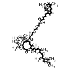 CCOC(C)OC1CCC(C)(OC(C)OCC)C(OC(=O)NCCOCCOCCNC(=O)CCCCC2=[N+]3C(=Cc4c(C)cc(C)n4[B-]3(F)F)C=C2)/C=C/C(C)C(C(C)=CC=CC(C)CC2OC2C(C)C(CC)OC(C)OCC)OC(=O)C1